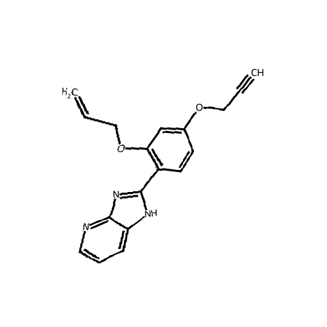 C#CCOc1ccc(-c2nc3ncccc3[nH]2)c(OCC=C)c1